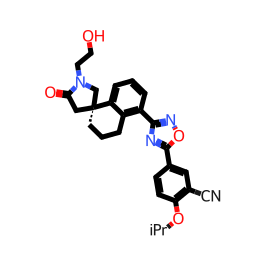 CC(C)Oc1ccc(-c2nc(-c3cccc4c3CCC[C@@]43CC(=O)N(CCO)C3)no2)cc1C#N